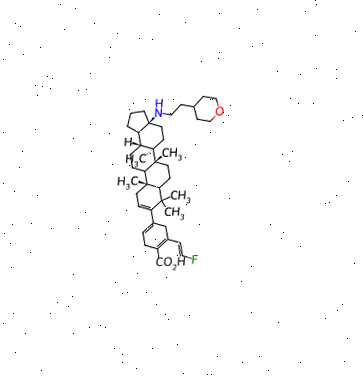 CC1(C)C(C2=CCC(C(=O)O)=C(/C=C/F)C2)=CC[C@@]2(C)C1CC[C@]1(C)C2CC[C@@H]2C3CCC[C@]3(NCCC3CCOCC3)CC[C@]21C